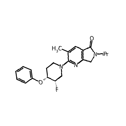 Cc1cc2c(nc1N1CC[C@@H](Oc3ccccc3)[C@@H](F)C1)CN(C(C)C)C2=O